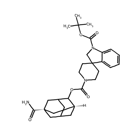 CC(C)(C)OC(=O)N1CC2(CCN(C(=O)OC3C4CC5C[C@H]3C[C@@](C(N)=O)(C5)C4)CC2)c2ccccc21